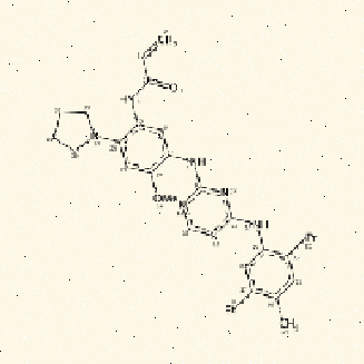 C=CC(=O)Nc1cc(Nc2ncnc(Nc3cc(CC)c(C)cc3C(C)C)n2)c(OC)cc1N1CCCC1